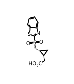 O=C(O)C[C@@H]1C[C@H]1CS(=O)(=O)c1nc2ccccc2s1